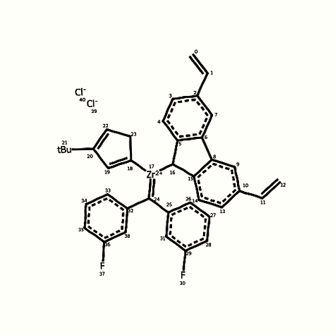 C=Cc1ccc2c(c1)-c1cc(C=C)ccc1[CH]2[Zr+2]([C]1=CC(C(C)(C)C)=CC1)=[C](c1cccc(F)c1)c1cccc(F)c1.[Cl-].[Cl-]